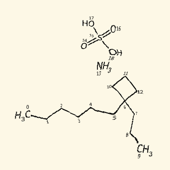 CCCCCCC1(CCC)CCC1.N.O=S(=O)(O)O